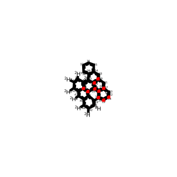 [2H]c1c([2H])c([2H])c2c(-c3cccc4ccccc34)c3c(-c4ccccc4-c4cccc5c4ccc4ccccc45)c([2H])c([2H])c([2H])c3c([2H])c2c1[2H]